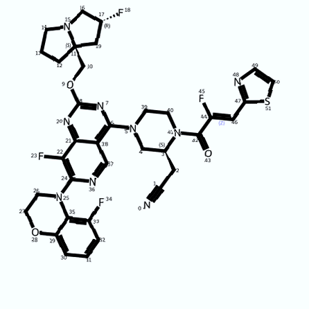 N#CC[C@H]1CN(c2nc(OC[C@@]34CCCN3C[C@H](F)C4)nc3c(F)c(N4CCOc5cccc(F)c54)ncc23)CCN1C(=O)/C(F)=C/c1nccs1